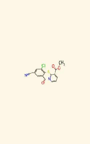 COC(=O)c1cccnc1Sc1c(Cl)cc(C#N)cc1C=O